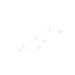 CC1CNCCN1C(=O)N1CCN2c3cc(-c4ccccc4O)nnc3NC[C@H]2C1